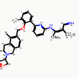 CO/C(Nc1cccc(-c2cccc(C(F)(F)F)c2OCc2ccc3c(c2C)CCN(C2COC2)C3)n1)=C(/C=N)C(=O)O